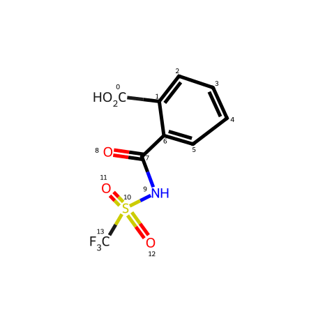 O=C(O)c1ccccc1C(=O)NS(=O)(=O)C(F)(F)F